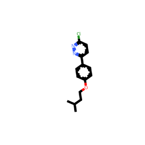 CC(C)CCOc1ccc(-c2ccc(Cl)nn2)cc1